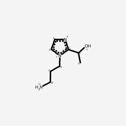 CC(O)c1nccn1CCCN